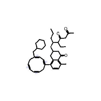 CCCC(CC1CC(=O)c2c(C)ccc(/C3=C/C=C(/CC4CCCCC4)C/C=C\C=C/C3)c2C1)C(CC)C(=O)CC(C)=O